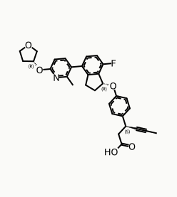 CC#C[C@@H](CC(=O)O)c1ccc(O[C@@H]2CCc3c(-c4ccc(O[C@@H]5CCOC5)nc4C)ccc(F)c32)cc1